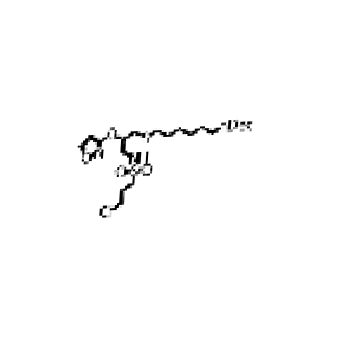 CCCCCCCCCCCCCCCCSCC(CNS(=O)(=O)CCCCl)Oc1ccon1